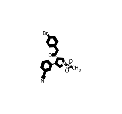 CS(=O)(=O)N1C[C@@H](C(=O)Cc2ccc(Br)cc2)[C@H](c2cccc(C#N)c2)C1